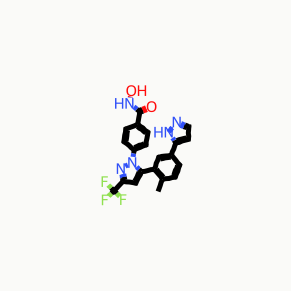 Cc1ccc(-c2ccn[nH]2)cc1-c1cc(C(F)(F)F)nn1-c1ccc(C(=O)NO)cc1